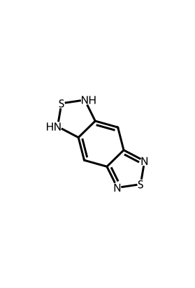 c1c2c(cc3nsnc13)NSN2